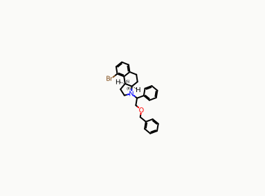 Brc1cccc2c1[C@@H]1CCN(C(COCc3ccccc3)c3ccccc3)[C@@H]1CC2